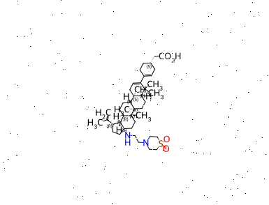 C=C(C)[C@@H]1CC[C@]2(NCCN3CCS(=O)(=O)CC3)CC[C@]3(C)[C@H](CC[C@@H]4[C@@]5(C)CC=C(C6=CC[C@@H](CC(=O)O)CC6)C(C)(C)[C@@H]5CC[C@]43C)[C@@H]12